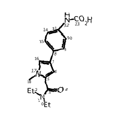 CCN(CC)C(=O)c1cc(-c2ccc(NC(=O)O)cc2)cn1C